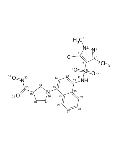 Cc1nn(C)c(Cl)c1S(=O)(=O)Nc1ccc(N2CCC(C(=O)N=O)C2)c2ccccc12